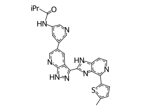 Cc1ccc(-c2nccc3[nH]c(-c4n[nH]c5ncc(-c6cncc(NC(=O)C(C)C)c6)cc45)nc23)s1